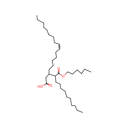 CCCCCCCC/C=C\CCCCCC(CC(=O)O)C(CCCCCCCCCC)C(=O)OCCCCCC